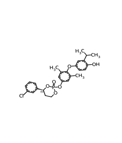 Cc1cc(OP2(=O)OCC[C@@H](c3cccc(Cl)c3)O2)cc(C)c1Oc1ccc(O)c(C(C)C)c1